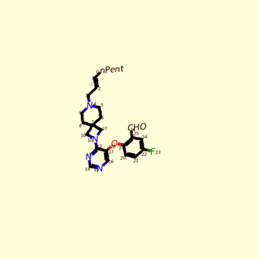 CCCCC/C=C/CN1CCC2(CC1)CN(c1ncncc1Oc1ccc(F)cc1C=O)C2